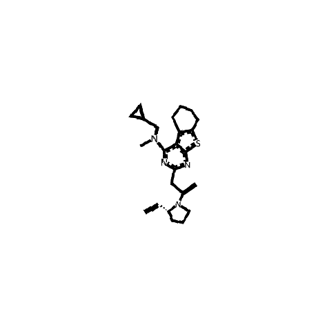 C=C[C@H]1CCCN1C(=C)Cc1nc(N(C)CC2CC2)c2c3c(sc2n1)CCCC3